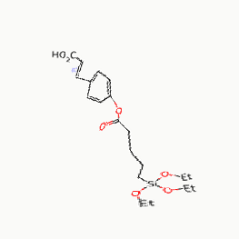 CCO[Si](CCCCC(=O)Oc1ccc(/C=C/C(=O)O)cc1)(OCC)OCC